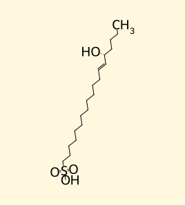 CCCC[C@@H](O)/C=C/CCCCCCCCCCCCS(=O)(=O)O